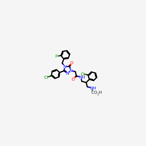 O=C(O)NCC(CNC(=O)Cn1nc(-c2ccc(Cl)cc2)n(Cc2ccccc2F)c1=O)c1ccccc1Cl